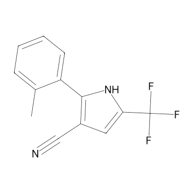 Cc1ccccc1-c1[nH]c(C(F)(F)F)cc1C#N